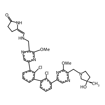 COc1nc(-c2cccc(-c3cccc(-c4cnc(CN5CC[C@](C)(O)C5)c(OC)n4)c3Cl)c2Cl)cnc1CN/C=C1\CCC(=O)N1